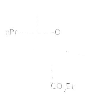 CCCC1(C)CC(C(=O)OCC)=C(C)O1